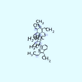 C=C/C=c1c(C=C)c(/C=C\C)c(=C/C(=C)C(=C/C)/C=C(\C)c2cccc3c(C=C)c(/C=C\C)sc23)/c(=C\C)c/1=C/C